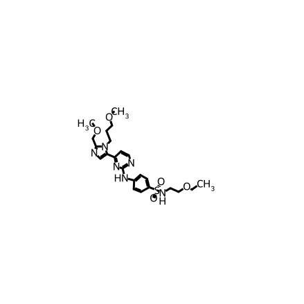 CCOCCNS(=O)(=O)c1ccc(Nc2nccc(-c3cnc(COC)n3CCCOC)n2)cc1